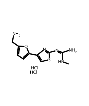 CNC(N)=Nc1nc(-c2ccc(CN)o2)cs1.Cl.Cl